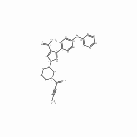 CC#CC(=O)N1CCC[C@@H](n2cc(C(N)=O)c(-c3ccc(Oc4ccccc4)cc3)n2)C1